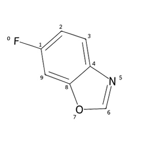 Fc1ccc2ncoc2c1